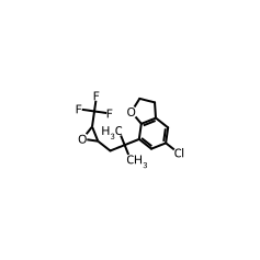 CC(C)(CC1OC1C(F)(F)F)c1cc(Cl)cc2c1OCC2